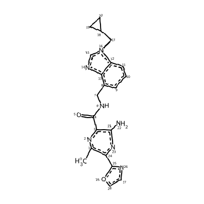 Cc1nc(C(=O)NCc2cccc3c2ncn3CC2CC2)c(N)nc1-c1ncco1